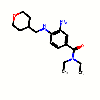 Nc1cc(C(=O)N(CC(F)(F)F)CC(F)(F)F)ccc1NCC1CCOCC1